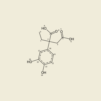 CCC(CC(=O)O)(C(=O)O)c1ccc(O)c(O)c1